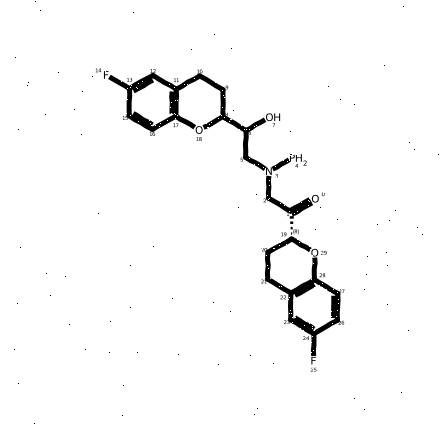 O=C(CN(P)CC(O)C1CCc2cc(F)ccc2O1)[C@H]1CCc2cc(F)ccc2O1